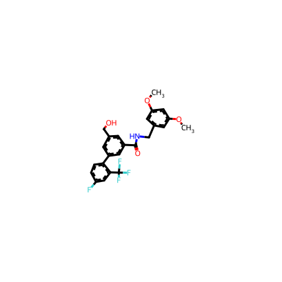 COc1cc(CNC(=O)c2cc(CO)cc(-c3ccc(F)cc3C(F)(F)F)c2)cc(OC)c1